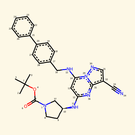 CC(C)(C)OC(=O)N1CC[C@H](Nc2cc(NCc3ccc(-c4ccccc4)cc3)n3ncc(C#N)c3n2)C1